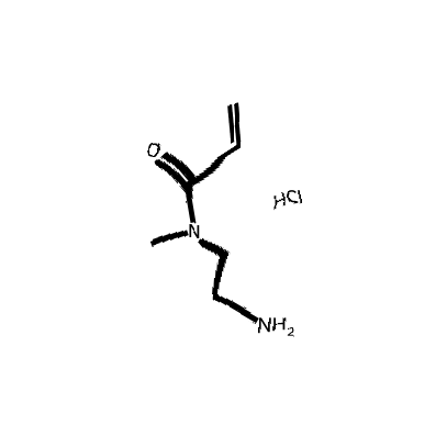 C=CC(=O)N(C)CCN.Cl